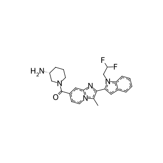 Cc1c(-c2cc3ccccc3n2CC(F)F)nc2cc(C(=O)N3CCC[C@@H](N)C3)ccn12